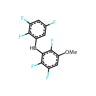 COc1cc(F)c(F)c(Bc2cc(F)cc(F)c2F)c1F